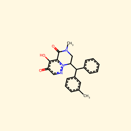 Cc1cccc(C(c2ccccc2)C2CN(C)C(=O)c3c(O)c(=O)cnn32)c1